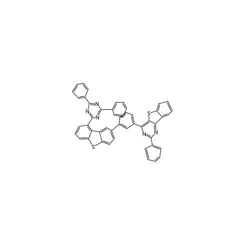 c1ccc(-c2nc(-c3ccccc3)nc(-c3cccc4sc5ccc(-c6cccc(-c7nc(-c8ccccc8)nc8c7sc7ccccc78)c6)cc5c34)n2)cc1